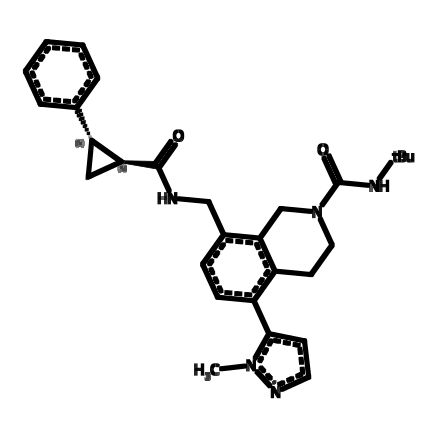 Cn1nccc1-c1ccc(CNC(=O)[C@H]2C[C@@H]2c2ccccc2)c2c1CCN(C(=O)NC(C)(C)C)C2